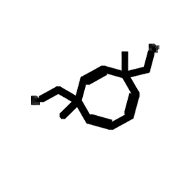 CC1(CBr)/C=C\C=C/C(C)(CBr)/C=C\1